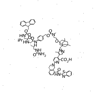 Cc1c(-c2ccc(N3CCc4cccc(C(=O)Nc5nc6ccccc6s5)c4C3)nc2C(=O)O)cnn1CC12CC3(C)CC(C)(C1)CC(OCCN(C)C(=O)OCc1ccc(NC(=O)[C@H](CCCNC(N)=O)NC(=O)[C@@H](NC(=O)OCC4c5ccccc5-c5ccccc54)C(C)C)cc1)(C3)C2